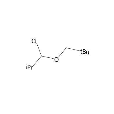 CC(C)C(Cl)OCC(C)(C)C